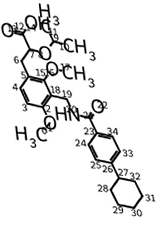 COc1ccc(CC(OC(C)C)C(=O)O)c(OC)c1CNC(=O)c1ccc(C2CCCCC2)cc1